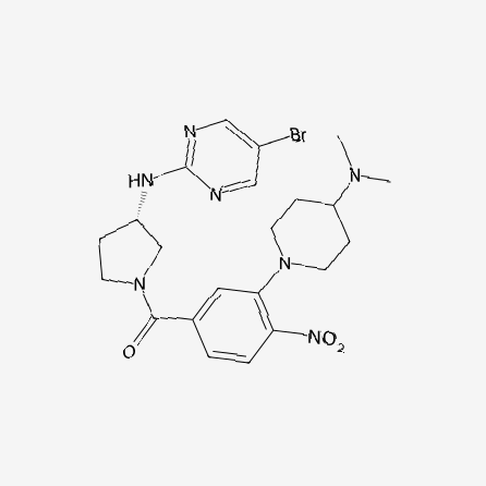 CN(C)C1CCN(c2cc(C(=O)N3CC[C@H](Nc4ncc(Br)cn4)C3)ccc2[N+](=O)[O-])CC1